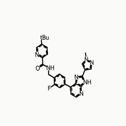 Cn1cc(-c2nc3c(-c4ccc(CNC(=O)c5ccc(C(C)(C)C)cn5)c(F)c4)ccnc3[nH]2)cn1